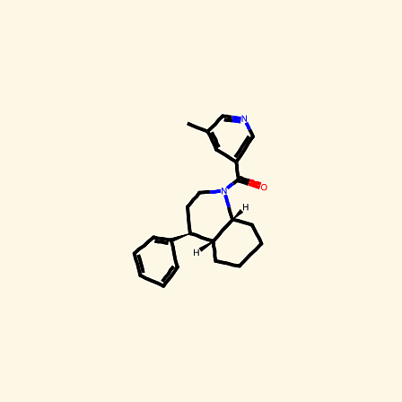 Cc1cncc(C(=O)N2CC[C@H](c3ccccc3)[C@H]3CCCC[C@H]32)c1